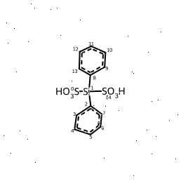 O=S(=O)(O)[Si](c1ccccc1)(c1ccccc1)S(=O)(=O)O